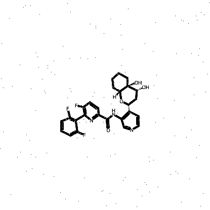 O=C(Nc1cnccc1[C@H]1C[C@@H](O)[C@@]2(O)CCCC[C@H]2O1)c1ccc(F)c(-c2c(F)cccc2F)n1